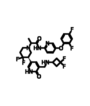 CC(C(=O)Nc1ccc(Oc2ccc(F)cc2F)cn1)N1CCC(F)(F)[C@@H](c2c[nH]c(=O)c(CNC3CC(F)(F)C3)c2)C1